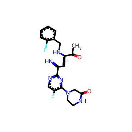 CC(=O)/C(=C/C(=N)c1ncc(F)c(N2CCNC(=O)C2)n1)NCc1ccccc1F